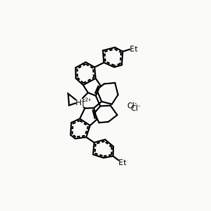 CCc1ccc(-c2cccc3c2C=C(C2CCCCC2)[CH]3[Hf+2]2([CH]3C(C4CCCCC4)=Cc4c(-c5ccc(CC)cc5)cccc43)[CH2][CH2]2)cc1.[Cl-].[Cl-]